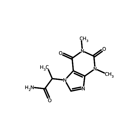 CC(C(N)=O)n1cnc2c1c(=O)n(C)c(=O)n2C